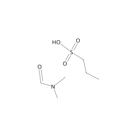 CCCS(=O)(=O)O.CN(C)C=O